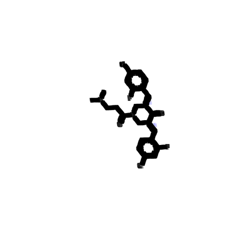 CN(C)CCC(=O)N1C/C(=C\c2ccc(Cl)cc2F)C(=O)/C(=C/c2ccc(Cl)cc2F)C1